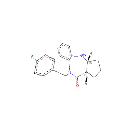 O=C1[C@H]2CCC[C@H]2Nc2ccccc2N1Cc1ccc(F)cc1